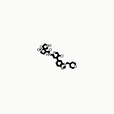 O=C(Nc1cc(-c2ccc3ncn(CC4CCOCC4)c3c2)c(Cl)cn1)C1CCS(=O)(=O)C12CCNC2